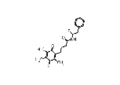 CC1=C(C)C(=O)C(CCCC(=O)NC(F)Cc2ccccc2)=C(C)C1=O